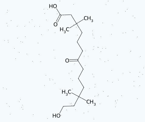 CC(C)(CCO)CCCC(=O)CCCC(C)(C)CC(=O)O